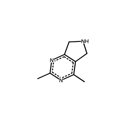 Cc1nc(C)c2c(n1)CNC2